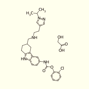 CC(C)n1cc(CCNCC2CCc3[nH]c4ccc(NC(=O)Oc5ccccc5Cl)cc4c3C2)cn1.O=C(O)CO